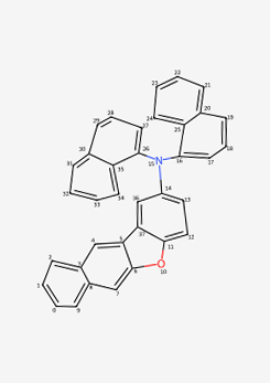 c1ccc2cc3c(cc2c1)oc1ccc(N(c2cccc4ccccc24)c2cccc4ccccc24)cc13